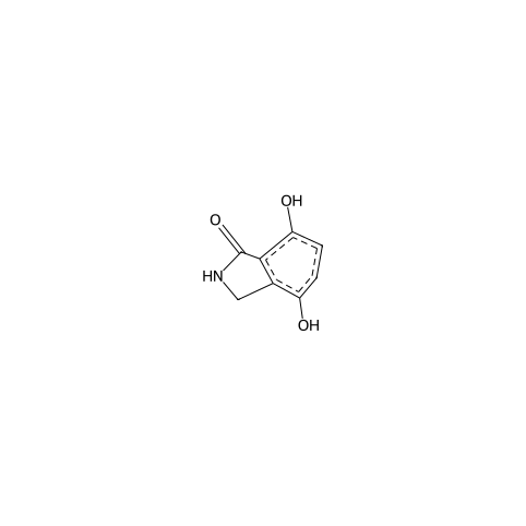 O=C1NCc2c(O)ccc(O)c21